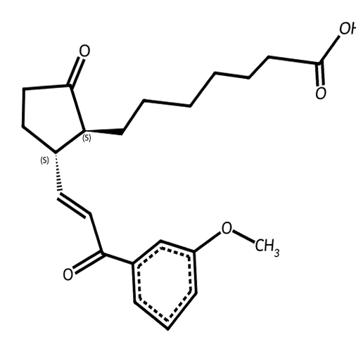 COc1cccc(C(=O)C=C[C@@H]2CCC(=O)[C@H]2CCCCCCC(=O)O)c1